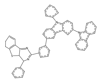 C1=CC2=C(CC1)SC1C2=NC(c2cccc(-c3ccc4c(c3)c3cc(-n5c6ccccc6c6ccccc65)ccc3n4-c3ccccc3)c2)=NC1c1ccccc1